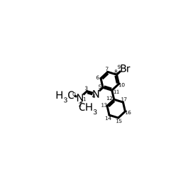 CN(C)/C=N/c1ccc(Br)cc1C1=CCCCC1